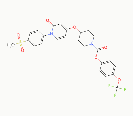 CS(=O)(=O)c1ccc(-n2ccc(OC3CCN(C(=O)Oc4ccc(OC(F)(F)F)cc4)CC3)cc2=O)cc1